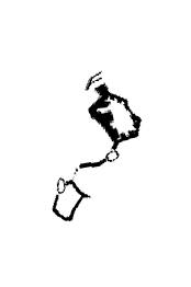 Fc1cccc(OC[C@@H]2CCCO2)c1